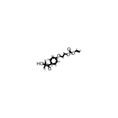 C=COC(=O)OCCOc1ccc(C(=O)C(C)(C)O)cc1